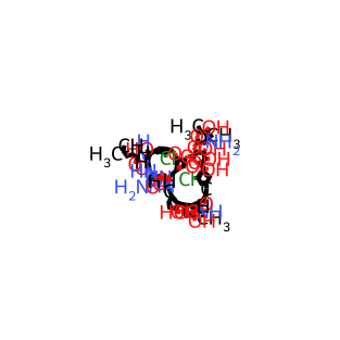 CNC(=O)[C@H]1C(=O)CCc2ccc(c(Cl)c2)Oc2cc3cc(c2OC2OC(CO)C(O)C(O)C2OC2CC(C)(N)C(O)C(C)O2)Oc2ccc(cc2Cl)[C@@H](O)[C@@H](NC(=O)CCC(C)C)C(=O)N[C@@H](CC(N)=O)C(=O)N[C@H]3C(=O)NCc2ccc(O)c(c2)-c2c(O)cc(O)cc21